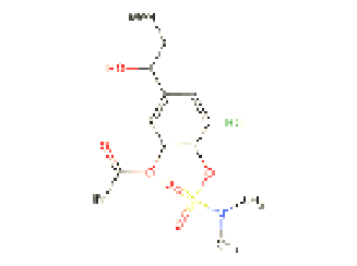 CNCC(O)c1ccc(OS(=O)(=O)N(C)C)c(OC(=O)C(C)C)c1.Cl